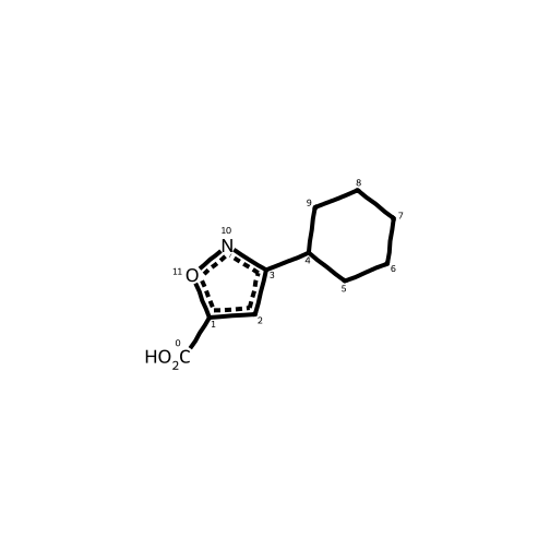 O=C(O)c1cc(C2CCCCC2)no1